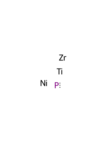 [Ni].[P].[Ti].[Zr]